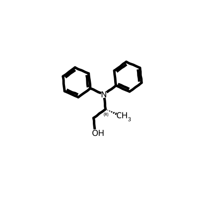 C[C@H](CO)N(c1ccccc1)c1ccccc1